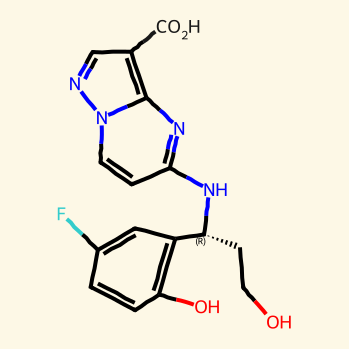 O=C(O)c1cnn2ccc(N[C@H](CCO)c3cc(F)ccc3O)nc12